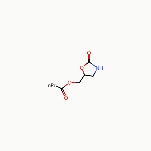 CCCC(=O)OCC1CNC(=O)O1